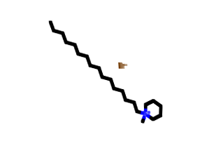 CCCCCCCCCCCCCCCC[N+]1(C)CCCCC1.[Br-]